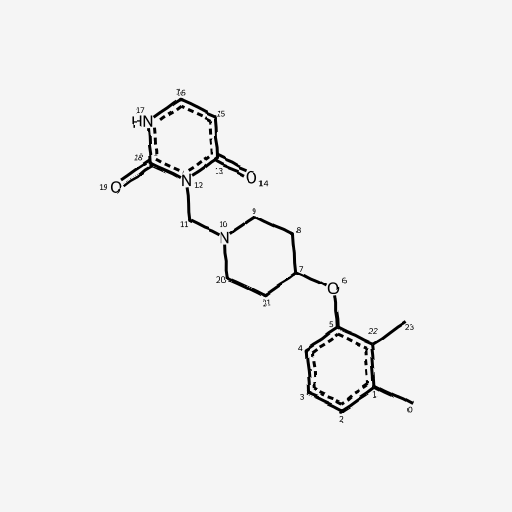 Cc1cccc(OC2CCN(Cn3c(=O)cc[nH]c3=O)CC2)c1C